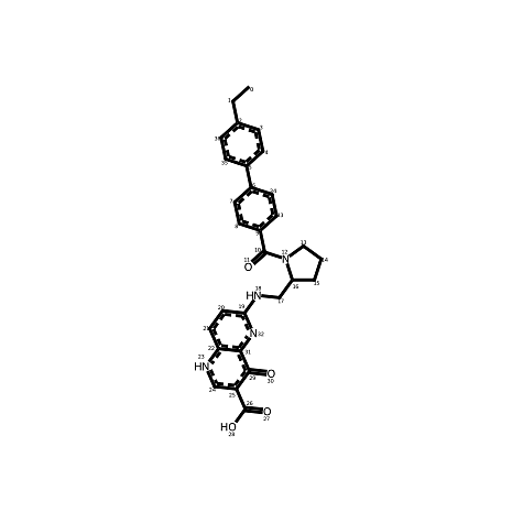 CCc1ccc(-c2ccc(C(=O)N3CCCC3CNc3ccc4[nH]cc(C(=O)O)c(=O)c4n3)cc2)cc1